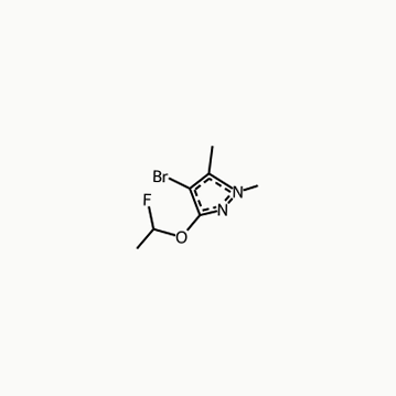 Cc1c(Br)c(OC(C)F)nn1C